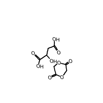 O=C(O)CC(O)C(=O)O.O=C1COC(=O)CO1